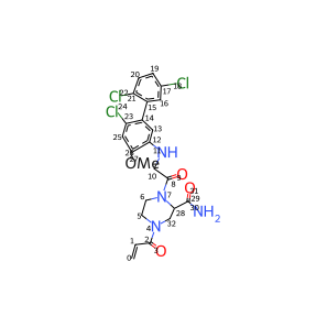 C=CC(=O)N1CCN(C(=O)CNc2cc(-c3cc(Cl)ccc3Cl)c(Cl)cc2OC)C(C(N)=O)C1